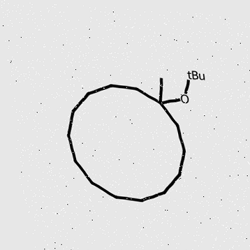 CC(C)(C)OC1(C)CCCCCCCCCCCCC1